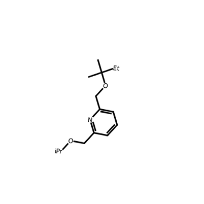 CCC(C)(C)OCc1cccc(COC(C)C)n1